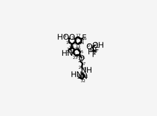 O=C(O)C(F)(F)F.O=C(O)CC(c1ccc(F)cc1)c1c[nH]c2cc(OCCCNc3ncc[nH]3)ccc12